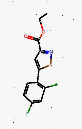 CCOC(=O)c1cc(-c2ccc(F)cc2F)sn1